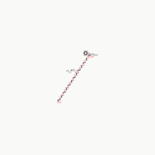 CC(=O)O.CCCCCCCCCC(O)(COCCOCCOCCOCCOCCOCCOCCOCCOCCOCCOCCOCCO)Oc1ccccc1